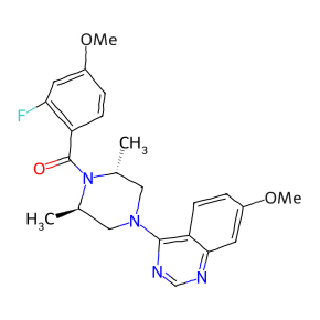 COc1ccc(C(=O)N2[C@H](C)CN(c3ncnc4cc(OC)ccc34)C[C@H]2C)c(F)c1